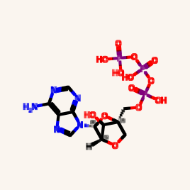 Nc1ncnc2c1ncn2[C@@H]1O[C@@]2(COP(=O)(O)OP(=O)(O)OP(=O)(O)O)CO[C@H]1C2O